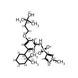 Cn1cc(S(=O)(=O)Nc2nc(OCCC(C)(C)O)cc(C3CCCCC3(C)C)n2)cn1